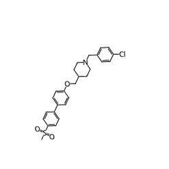 CS(=O)(=O)c1ccc(-c2ccc(OCC3CCN(Cc4ccc(Cl)cc4)CC3)cc2)cc1